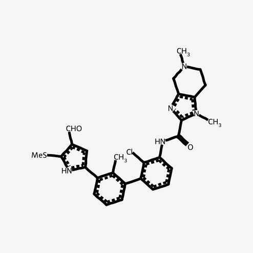 CSc1[nH]c(-c2cccc(-c3cccc(NC(=O)c4nc5c(n4C)CCN(C)C5)c3Cl)c2C)cc1C=O